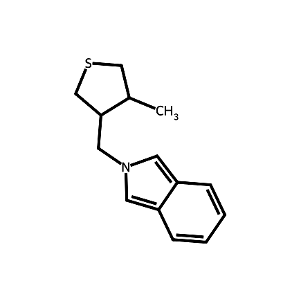 CC1CSCC1Cn1cc2ccccc2c1